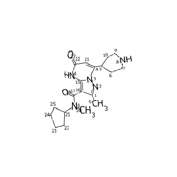 Cc1nn2c(C3CCNCC3)cc(=O)[nH]c2c1C(=O)N(C)C1CCCC1